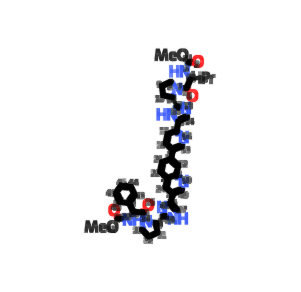 COC(=O)N[C@H](C(=O)N1CCC[C@H]1c1ncc(-c2ccc(-c3ccc4cc(-c5c[nH]c([C@@H]6CCCN6C(=O)[C@H](NC(=O)OC)c6ccccc6)n5)cnc4c3)cn2)[nH]1)C(C)C